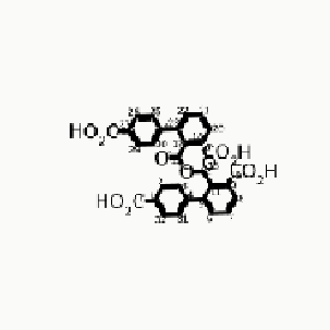 O=C(O)c1ccc(-c2cccc(C(=O)O)c2C(=O)OC(=O)c2c(C(=O)O)cccc2-c2ccc(C(=O)O)cc2)cc1